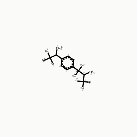 [2H]C([2H])([2H])C(C(=O)O)c1ccc(C([2H])([2H])C(C)C([2H])([2H])[2H])cc1